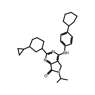 CC(C)N1Cc2c(Nc3ccc(C4CCCCC4)cc3)nc(C3CCCC(C4CC4)C3)nc2C1=O